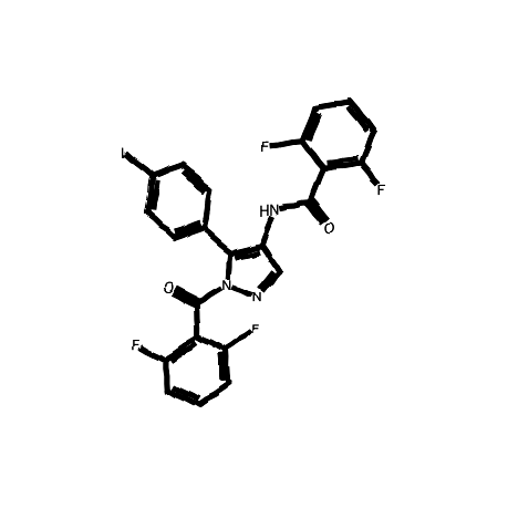 O=C(Nc1cnn(C(=O)c2c(F)cccc2F)c1-c1ccc(I)cc1)c1c(F)cccc1F